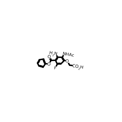 CC(=O)Nc1c(OCC(=O)O)cc(F)c(C(=O)Oc2ccccc2)c1N